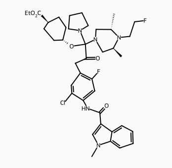 CCOC(=O)[C@H]1CC[C@H](OC(C(=O)Cc2cc(Cl)c(NC(=O)c3cn(C)c4ccccc34)cc2F)(N2CCCC2)N2C[C@H](C)N(CCF)[C@@H](C)C2)CC1